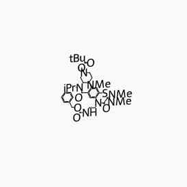 CNc1cc2c(cc1C(=O)N(C(C)C)C1CCCN(OC(=O)C(C)(C)C)C1)N(CCNC(=O)OCc1ccccc1)C(=O)C(NC)(NC)S2